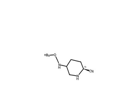 CCCCONC1CC[C@@H](C#N)NC1